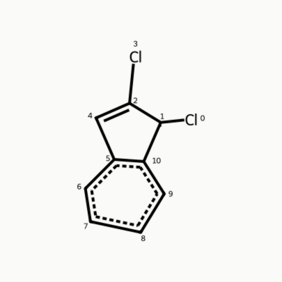 Cl[C]1C(Cl)=Cc2ccccc21